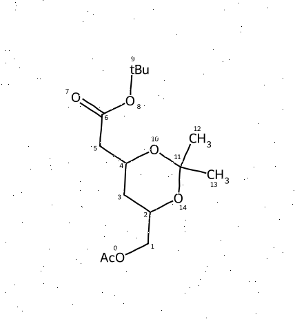 CC(=O)OCC1CC(CC(=O)OC(C)(C)C)OC(C)(C)O1